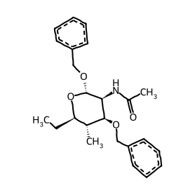 CC[C@H]1O[C@H](OCc2ccccc2)[C@@H](NC(C)=O)[C@@H](OCc2ccccc2)[C@@H]1C